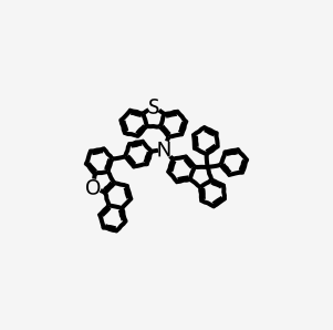 c1ccc(C2(c3ccccc3)c3ccccc3-c3ccc(N(c4ccc(-c5cccc6oc7c8ccccc8ccc7c56)cc4)c4cccc5sc6ccccc6c45)cc32)cc1